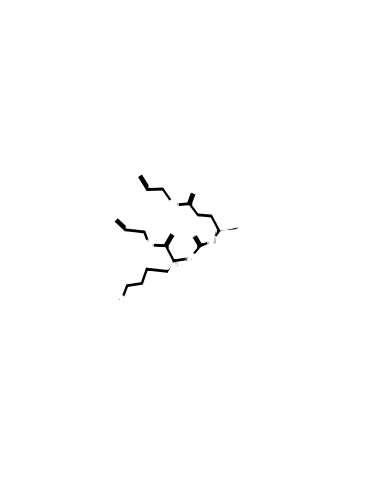 C=CCOC(=O)CC[C@H](NC(=O)N[C@@H](CCCCN)C(=O)OCC=C)C(=O)OCC